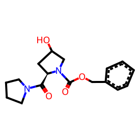 O=C([C@H]1CC(O)CN1C(=O)OCc1ccccc1)N1CCCC1